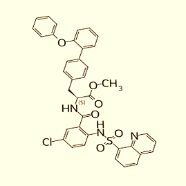 COC(=O)[C@H](Cc1ccc(-c2ccccc2Oc2ccccc2)cc1)NC(=O)c1cc(Cl)ccc1NS(=O)(=O)c1cccc2cccnc12